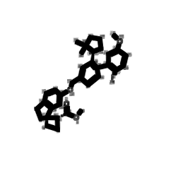 COC(=O)[C@@H]1CC[C@]12CCc1ccc(OCc3ccc(-c4cc(OC)ccc4F)c([C@@H]4CCCC4(C)C)c3)cc12